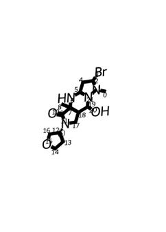 CN1C(Br)CC2NC3(C)C(=O)N([C@H]4CCOC4)CC3C(O)N21